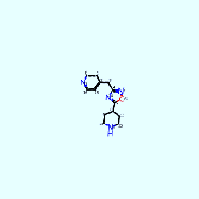 c1cc(Cc2noc(C3CCNCC3)n2)ccn1